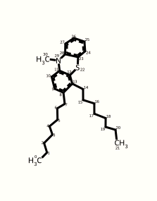 CCCCCCCCc1ccc2c(c1CCCCCCCC)Sc1ccccc1N2C